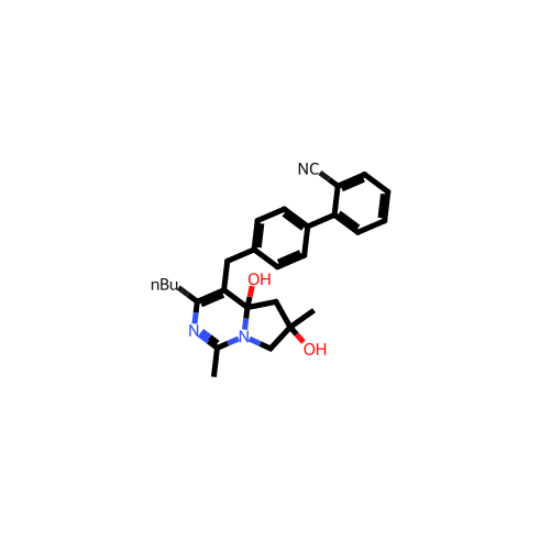 CCCCC1=C(Cc2ccc(-c3ccccc3C#N)cc2)C2(O)CC(C)(O)CN2C(C)=N1